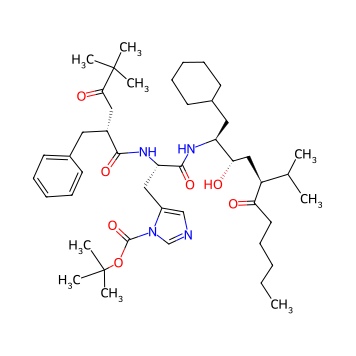 CCCCCC(=O)[C@@H](C[C@H](O)[C@H](CC1CCCCC1)NC(=O)[C@H](Cc1cncn1C(=O)OC(C)(C)C)NC(=O)[C@@H](CC(=O)C(C)(C)C)Cc1ccccc1)C(C)C